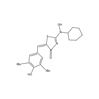 CC(C)(C)c1cc(C=C2SC(N(O)C3CCCCC3)=NC2=O)cc(C(C)(C)C)c1O